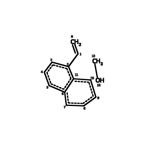 C=Cc1cccc2ccccc12.CO